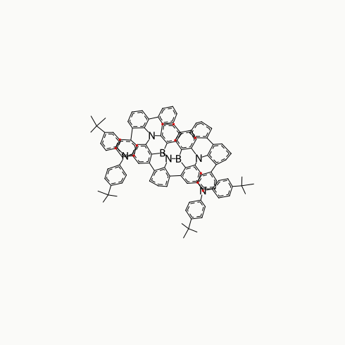 CC(C)(C)c1ccc(N(c2ccc(C(C)(C)C)cc2)c2cc3c4c(c2)N(c2c(-c5ccccc5)cccc2-c2ccccc2)c2ccccc2B4N2B4c5ccccc5N(c5c(-c6ccccc6)cccc5-c5ccccc5)c5cc(N(c6ccc(C(C)(C)C)cc6)c6ccc(C(C)(C)C)cc6)cc(c54)-c4cccc-3c42)cc1